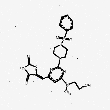 CN(CCO)c1cc(/C=C2\SC(=O)NC2=O)nc(N2CCN(S(=O)(=O)c3ccccc3)CC2)n1